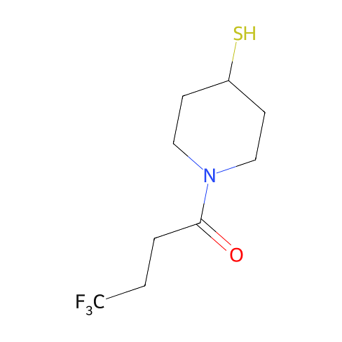 O=C(CCC(F)(F)F)N1CCC(S)CC1